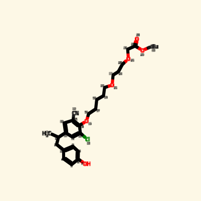 CC(Cc1ccc(O)cc1)c1cc(Cl)c(OCCCCCOCCCOCC(=O)OC(C)(C)C)c(C#N)c1